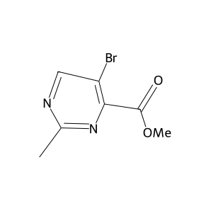 COC(=O)c1nc(C)ncc1Br